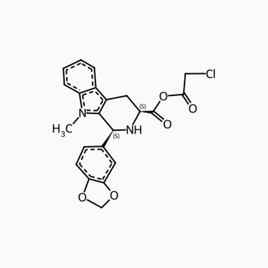 Cn1c2c(c3ccccc31)C[C@@H](C(=O)OC(=O)CCl)N[C@H]2c1ccc2c(c1)OCO2